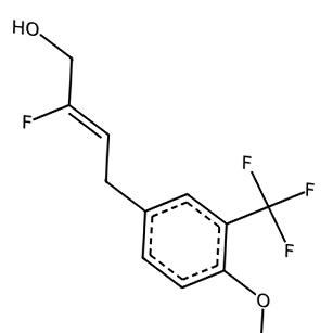 COc1ccc(CC=C(F)CO)cc1C(F)(F)F